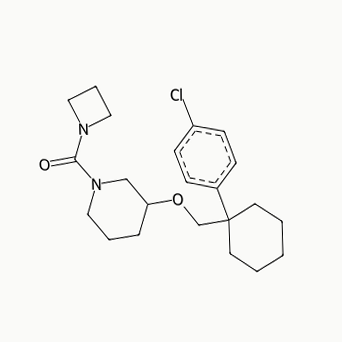 O=C(N1CCC1)N1CCCC(OCC2(c3ccc(Cl)cc3)CCCCC2)C1